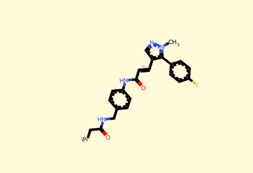 CC(C)CC(=O)NCc1ccc(NC(=O)/C=C/c2cnn(C)c2-c2ccc(F)cc2)cc1